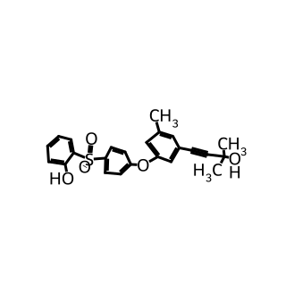 Cc1cc(C#CC(C)(C)O)cc(Oc2ccc(S(=O)(=O)c3ccccc3O)cc2)c1